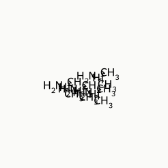 [CH3][Hf]([CH3])[NH2].[CH3][Hf]([CH3])[NH2].[CH3][Hf]([CH3])[NH2].[CH3][Hf]([CH3])[NH2]